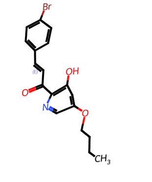 CCCCOc1cnc(C(=O)/C=C/c2ccc(Br)cc2)c(O)c1